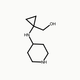 OCC1(NC2CCNCC2)CC1